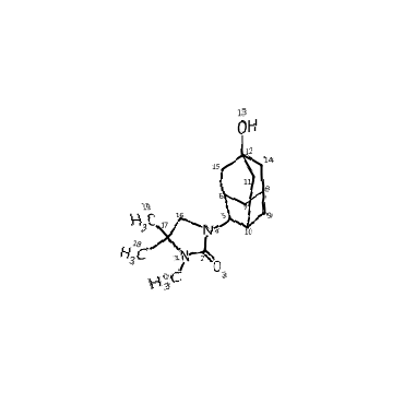 CN1C(=O)N(C2C3CC4CC2CC(O)(C4)C3)CC1(C)C